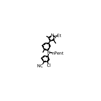 C[CH]CCCN(c1ccc(C#N)c(Cl)c1)c1cc(-c2c(C)nn(CC)c2C)ccc1C